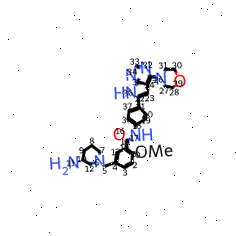 COc1ccc(CN2CCC[C@@H](N)C2)cc1C(=O)Nc1ccc(-c2cc3c(N4CCOCC4)ncnc3[nH]2)cc1